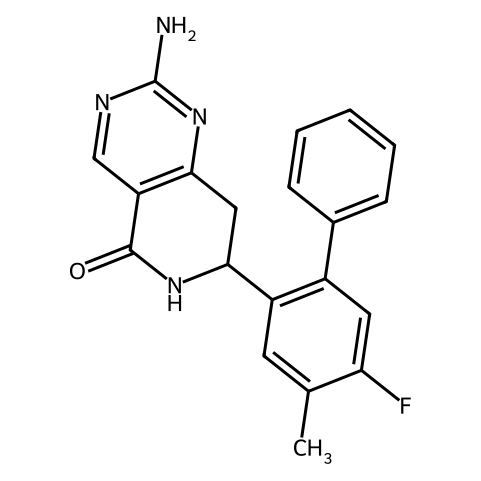 Cc1cc(C2Cc3nc(N)ncc3C(=O)N2)c(-c2ccccc2)cc1F